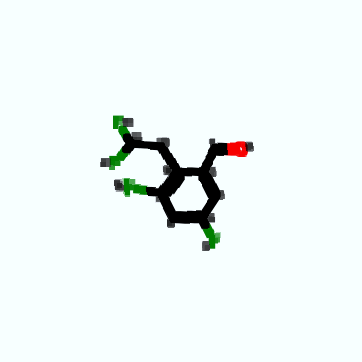 O=Cc1cc(F)cc(F)c1CC(F)F